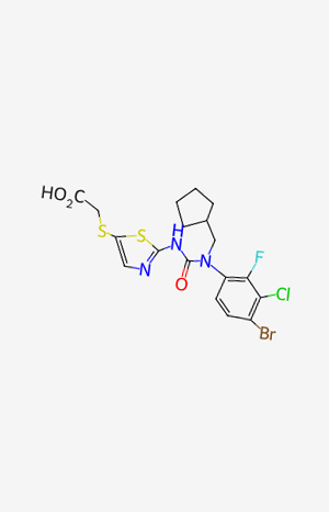 O=C(O)CSc1cnc(NC(=O)N(CC2CCCC2)c2ccc(Br)c(Cl)c2F)s1